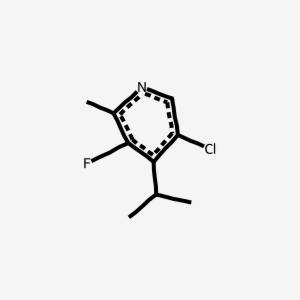 Cc1ncc(Cl)c(C(C)C)c1F